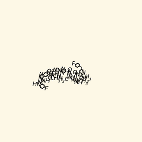 CC1CN(C(=O)c2cnc(N3CCN(CCOc4cc5ncnc(Nc6n[nH]c7ccc(F)cc67)c5cc4S(=O)(=O)C(C)(C)C)CC3)nc2)CCN1C[C@H]1CN[C@H](C)CN1CC(=O)N1CC(C)(C)c2ncc(Cc3ccc(F)cc3)cc21